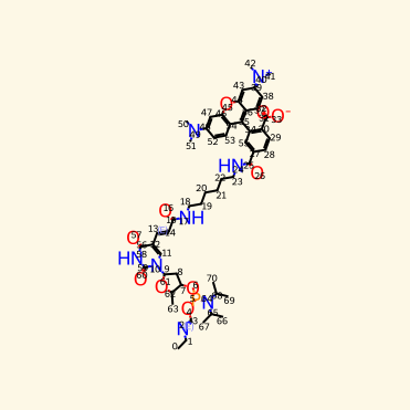 CC/N=C/OP(OC1CC(n2cc(/C=C/C(=O)NCCCCCCNC(=O)c3ccc(C(=O)[O-])c(-c4c5ccc(=[N+](C)C)cc-5oc5cc(N(C)C)ccc45)c3)c(=O)[nH]c2=O)OC1C)N(C(C)C)C(C)C